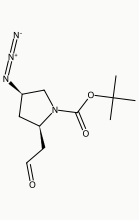 CC(C)(C)OC(=O)N1C[C@H](N=[N+]=[N-])C[C@@H]1CC=O